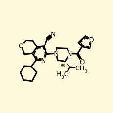 CC(C)[C@@H]1CN(c2nc(C3CCCCC3)c3c(c2C#N)CCOC3)CCN1C(=O)c1ccoc1